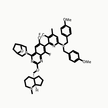 COc1ccc(CN(Cc2ccc(OC)cc2)c2cc(C)c(C(F)(F)F)c(-c3c(Cl)cc4c(N5CC6CCC(C5)O6)nc(OC[C@]56CCC[C@H]5N(C)CCC6)nc4c3F)n2)cc1